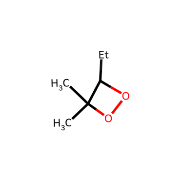 [CH2]CC1OOC1(C)C